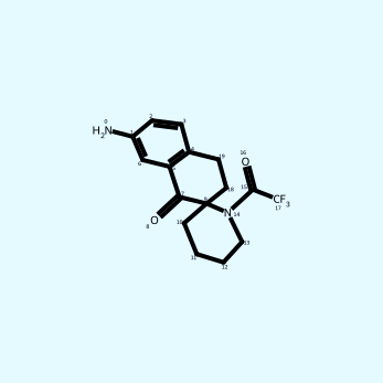 Nc1ccc2c(c1)C(=O)C1(CCCCN1C(=O)C(F)(F)F)CC2